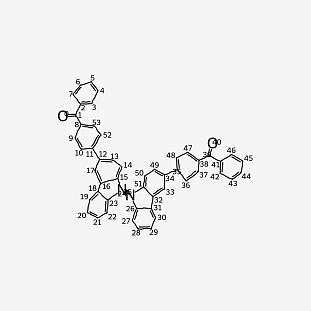 O=C(c1ccccc1)c1ccc(-c2ccc3c(c2)c2ccccc2n3-n2c3ccccc3c3cc(-c4ccc(C(=O)c5ccccc5)cc4)ccc32)cc1